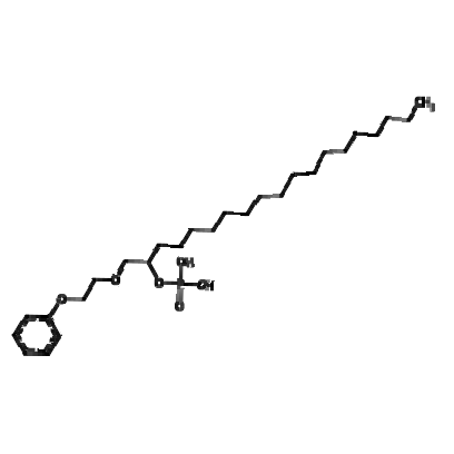 CCCCCCCCCCCCCCCCCC(COCCOc1ccccc1)OP(=O)(O)O